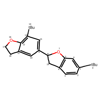 CC(C)(C)c1ccc2c(c1)OC(c1cc3c(c(C(C)(C)C)c1)OCC3)C2